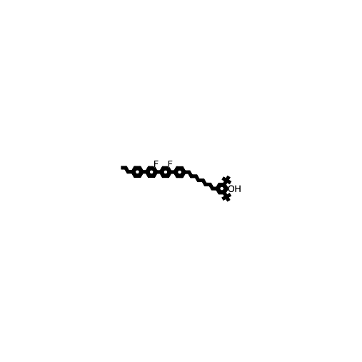 CCCc1ccc(-c2ccc(-c3ccc(-c4ccc(CCCCCCCCc5cc(C(C)(C)C)c(O)c(C(C)(C)C)c5)cc4)c(F)c3)c(F)c2)cc1